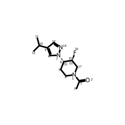 CC(=O)N1CC[C@H](n2cc(C(C)C)cn2)[C@@H](F)C1